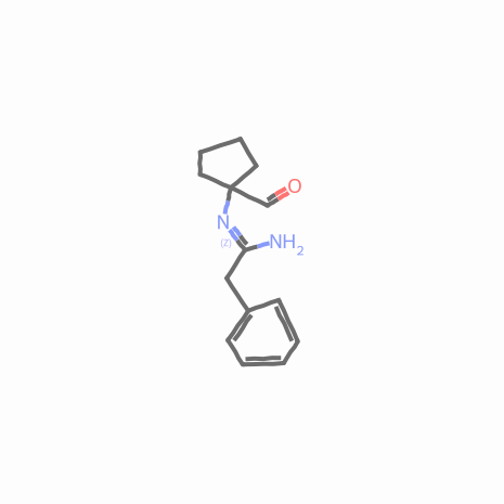 N/C(Cc1ccccc1)=N\C1(C=O)CCCC1